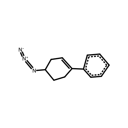 [N-]=[N+]=NC1CC=C(c2ccccc2)CC1